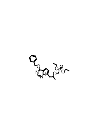 CCOP(=O)(COC(C)Cc1ccc2c(OCc3ccccc3)ncnn12)OCC